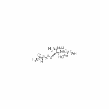 Nc1nc(=O)n([C@@H]2O[C@H](CO)C[C@H]2O)cc1C#CCCCCNC(=O)C(F)(F)F